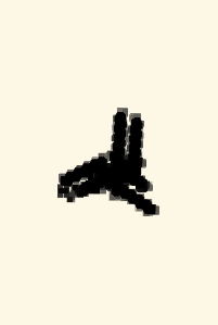 CCCCCCCCCC(C)C(=O)OC(C(=O)NCCNCCN)C(OC(=O)C(C)CCCCCCCCC)C(OC(=O)C(C)CCCCCCCCC)C(OC(=O)C(C)CCCCCCCCC)C(=O)OCCOC